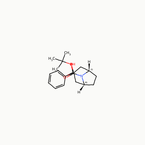 CC(C)(C)OC(=O)N1[C@@H]2CC[C@H]1CC(O)(c1ccccc1)C2